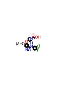 COc1cc2ncnc(Nc3ccc(F)c(Cl)c3)c2cc1OC1CCN(C(=O)CO)CC1